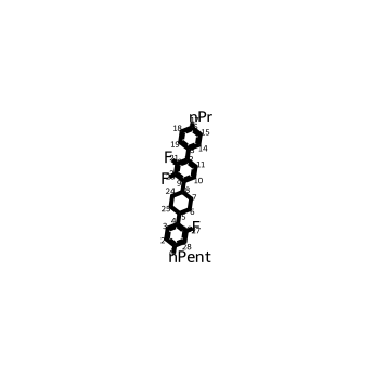 CCCCCc1ccc(C2CCC(c3ccc(-c4ccc(CCC)cc4)c(F)c3F)CC2)c(F)c1